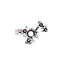 CC[C@H]1OC(=O)[C@H](C)[C@@H](O[C@H]2C[C@@](C)(OC)[C@@H](O)[C@H](C)O2)[C@H](C)[C@@H](O[C@@H]2O[C@H](C)C[C@H](N(C)CC(C)C)[C@H]2O)[C@](C)(OC)C[C@@H](C)C(=O)[C@H](C)[C@H]2C(SCCCOc3cc(C(=O)Nc4c(Cl)cncc4Cl)ccc3OC)C(=O)O[C@@]21C